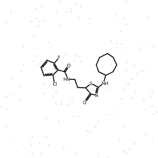 O=C(NCCC1SC(NC2CCCCCCC2)=NC1=O)c1c(F)cccc1Cl